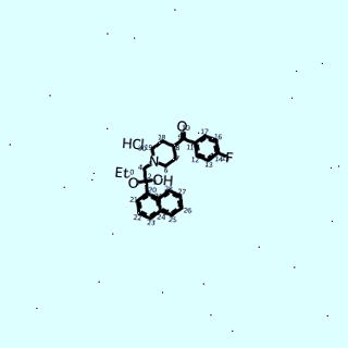 CCOC(O)(CN1CCC(C(=O)c2ccc(F)cc2)CC1)c1cccc2ccccc12.Cl